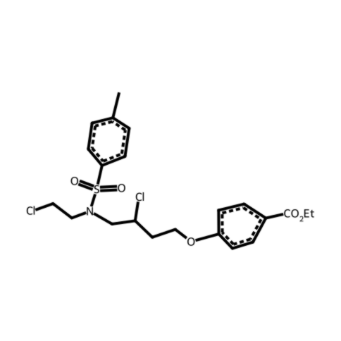 CCOC(=O)c1ccc(OCCC(Cl)CN(CCCl)S(=O)(=O)c2ccc(C)cc2)cc1